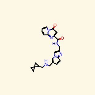 O=C(NCc1cn2cc(CNCC3CC34CC4)ccc2n1)c1cc(=O)n2ccccc2n1